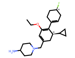 CCOC1=C(C2=CC[C@H](F)CC2)[C@@H](C2CC2)CC(CN2CCC(N)CC2)=C1